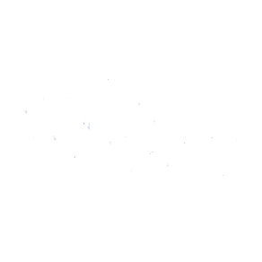 c1ccc(-c2ccc3c(c2)Oc2cccc4c2B3c2ccccc2N4c2ccccc2)cc1